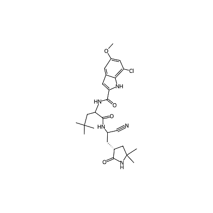 COc1cc(Cl)c2[nH]c(C(=O)NC(CC(C)(C)C)C(=O)NC(C#N)C[C@@H]3CC(C)(C)NC3=O)cc2c1